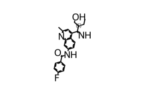 CC[C@H](CO)C(=N)c1cc(C)nc2cc(NC(=O)c3ccc(F)cc3)ccc12